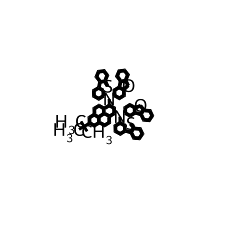 CC(C)(C)c1cc2ccc3c(N(c4ccc5oc6ccccc6c5c4)c4cccc5c4sc4ccccc45)cc(N(c4ccc5oc6ccccc6c5c4)c4cccc5c4sc4ccccc45)c4ccc(c1)c2c34